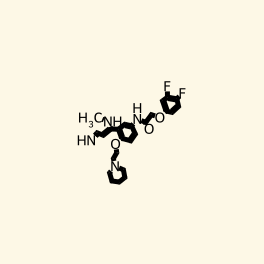 CN/C(=C\C=N)c1cc(NC(=O)COc2ccc(F)c(F)c2)ccc1OCCN1CCCCC1